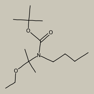 CCCCN(C(=O)OC(C)(C)C)C(C)(C)OCC